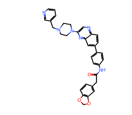 O=C(Cc1ccc2c(c1)OCO2)Nc1ccc(-c2ccc3ncc(N4CCN(Cc5cccnc5)CC4)nc3c2)cc1